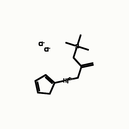 C=C([CH2][Hf+2][C]1=CC=CC1)C[Si](C)(C)C.[Cl-].[Cl-]